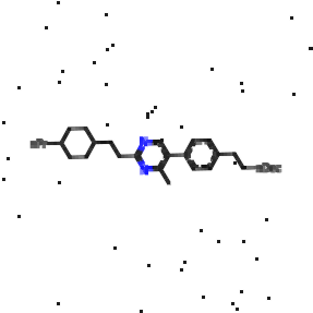 CCCCCCCCCCCCc1ccc(-c2cnc(CCC3CCC(CCC)CC3)nc2C)cc1